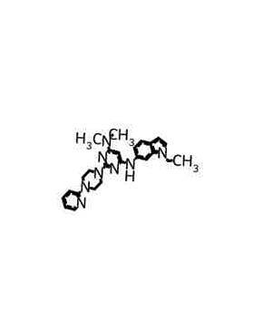 CCn1ccc2ccc(Nc3cc(N(C)C)nc(N4CCN(c5ccccn5)CC4)n3)cc21